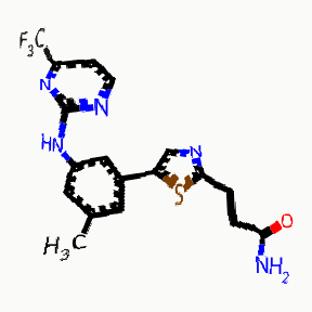 Cc1cc(Nc2nccc(C(F)(F)F)n2)cc(-c2cnc(CCC(N)=O)s2)c1